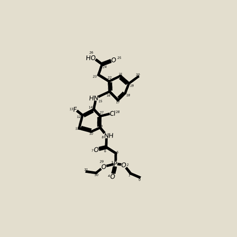 CCOP(=O)(CC(=O)Nc1ccc(F)c(Nc2ccc(C)cc2CC(=O)O)c1Cl)OCC